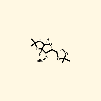 CCCCO[C@@H]1[C@@H]2OC(C)(C)O[C@H]2O[C@@H]1[C@@H]1COC(C)(C)O1